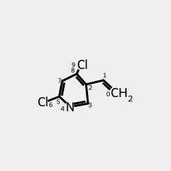 C=Cc1cnc(Cl)cc1Cl